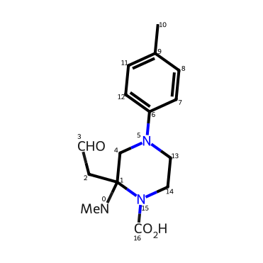 CNC1(CC=O)CN(c2ccc(C)cc2)CCN1C(=O)O